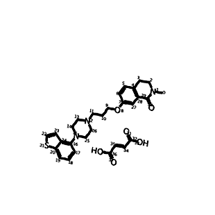 CN1CCc2ccc(OCCCN3CCN(c4cccc5sccc45)CC3)cc2C1=O.O=C(O)/C=C/C(=O)O